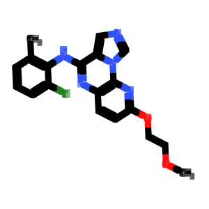 COCCOc1ccc2nc(Nc3c(C)cccc3Cl)c3cncn3c2n1